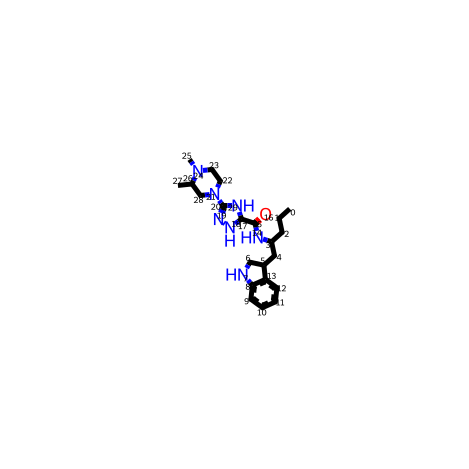 CCCC(CC1CNc2ccccc21)NC(=O)C1NN=C(N2CCN(C)C(C)C2)N1